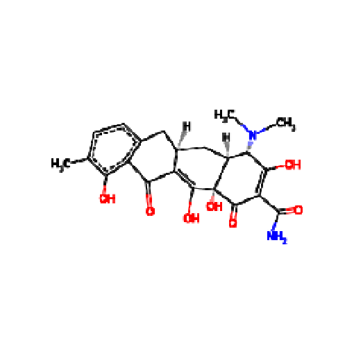 Cc1ccc2c(c1O)C(=O)C1=C(O)[C@]3(O)C(=O)C(C(N)=O)=C(O)[C@@H](N(C)C)[C@@H]3C[C@@H]1C2